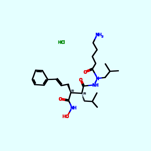 CC(C)C[C@@H](C(=O)NN(CC(C)C)C(=O)CCCCN)[C@H](CC=Cc1ccccc1)C(=O)NO.Cl